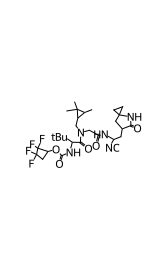 CC1C(CN(CC(=O)NC(C#N)CC2CC3(CC3)NC2=O)C(=O)C(NC(=O)OC2CC(F)(F)C2(F)F)C(C)(C)C)C1(C)C